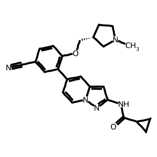 CN1CC[C@@H](COc2ccc(C#N)cc2-c2ccn3nc(NC(=O)C4CC4)cc3c2)C1